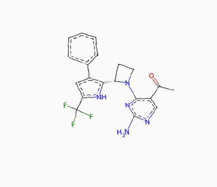 CC(=O)c1cnc(N)nc1N1CC[C@H]1c1[nH]c(C(F)(F)F)cc1-c1ccccc1